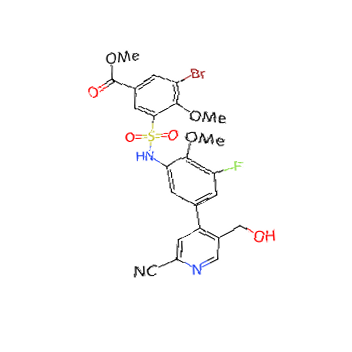 COC(=O)c1cc(Br)c(OC)c(S(=O)(=O)Nc2cc(-c3cc(C#N)ncc3CO)cc(F)c2OC)c1